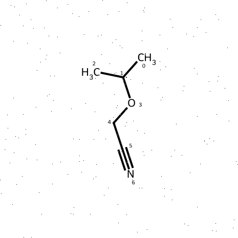 C[C](C)OCC#N